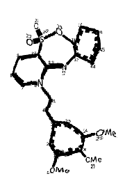 COc1cc(CCN2C=CC=C3C2=Nc2ccccc2OS3(=O)=O)cc(OC)c1OC